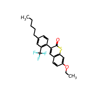 CCCCCc1ccc(-c2cc3ccc(OCC)cc3sc2=O)c(C(F)(F)F)c1